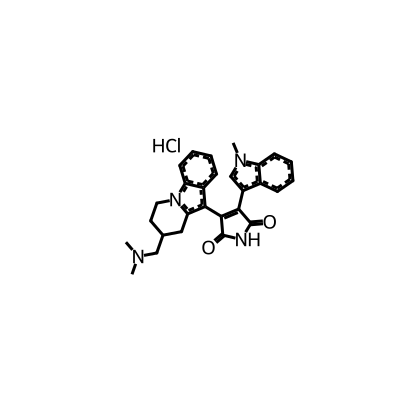 CN(C)CC1CCn2c(c(C3=C(c4cn(C)c5ccccc45)C(=O)NC3=O)c3ccccc32)C1.Cl